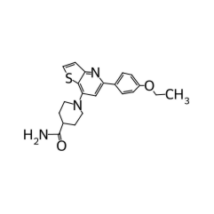 CCOc1ccc(-c2cc(N3CCC(C(N)=O)CC3)c3sccc3n2)cc1